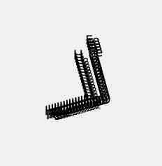 O.O.O.O.O.O.O.O.O.O.O.O.O.O.O.O.O.O.O.O.O.O.O.O.O.O.O.O.O.O.[Fe].[Fe].[Fe].[Fe].[Fe].[Fe].[Fe].[Fe].[Fe].[Fe]